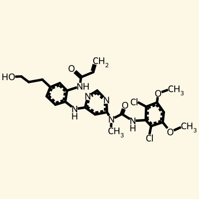 C=CC(=O)Nc1cc(CCCO)ccc1Nc1cc(N(C)C(=O)Nc2c(Cl)c(OC)cc(OC)c2Cl)ncn1